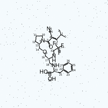 CC(C)C=C(C#N)C(=O)N1CCC[C@@H]1COC[C@H](CN[C@@H](Cc1ccccc1)B(O)O)NCC(F)(F)F